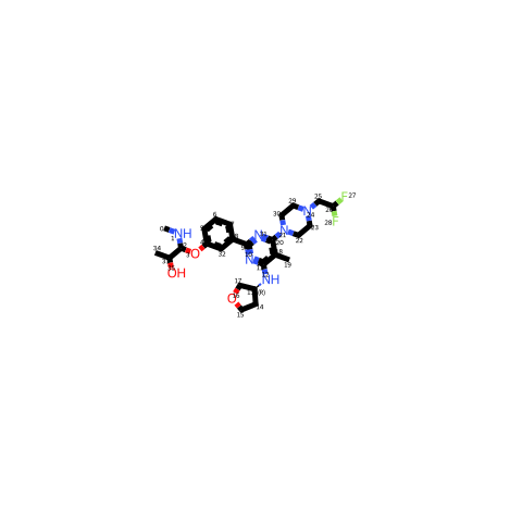 CNC(Oc1cccc(-c2nc(N[C@@H]3CCOC3)c(C)c(N3CCN(CC(F)F)CC3)n2)c1)C(C)O